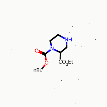 CCCCOC(=O)N1CCNCC1C(=O)OCC